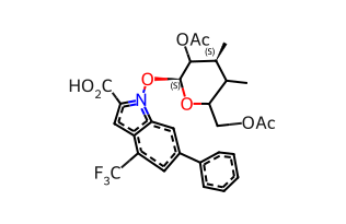 CC(=O)OCC1O[C@@H](On2c(C(=O)O)cc3c(C(F)(F)F)cc(-c4ccccc4)cc32)C(OC(C)=O)[C@@H](C)C1C